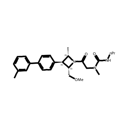 CCCNC(=O)N(C)CC(=O)N1[C@H](COC)[C@@H](c2ccc(-c3cccc(C)c3)cc2)[C@@H]1C